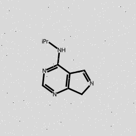 CC(C)Nc1ncnc2c1C=NC2